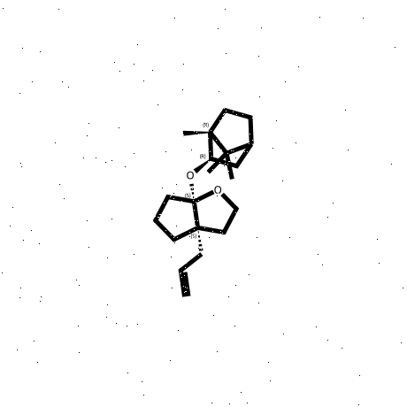 C=CC[C@]12CCC[C@@]1(O[C@@H]1CC3CC[C@]1(C)C3(C)C)OCC2